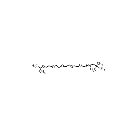 CC(C)OCCOCCOCCOCCOCCNCC(C)(C)C